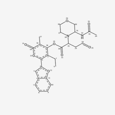 CCc1c(-c2cc3ccccc3o2)oc(=O)c(C)c1OC(=O)C(CC=O)N1CCOCC1NC(C)=O